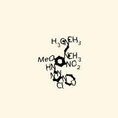 COc1cc(N(C)CCN(C)C)c([N+](=O)[O-])cc1Nc1ncc(Cl)c(N2CCCOCC2)n1